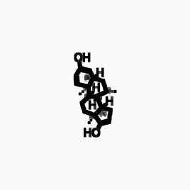 C[C@H]1C[C@@H]2C=C(O)C=C[C@]2(C)[C@H]2CC[C@]3(C)C(O)=CC[C@H]3[C@H]12